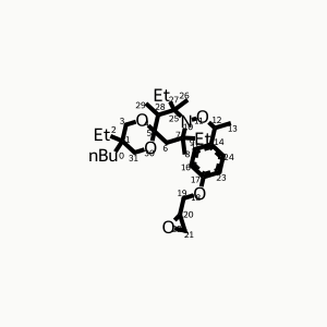 CCCCC1(CC)COC2(CC(C)(CC)N(OC(C)c3ccc(OCC4CO4)cc3)C(C)(CC)C2C)OC1